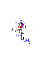 Cc1cc(NC(=O)c2cc(C3CC3NC3CCC(N)CC3)sc2C)no1